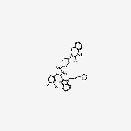 O=C(NC(Cc1ccc(Br)c(Br)c1)c1nc2ccccc2n1CCCN1CCCC1)N1CCC(N2CCc3ccccc3NC2=O)CC1